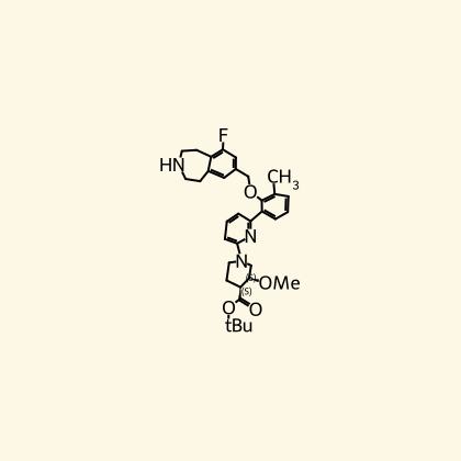 CO[C@@H]1CN(c2cccc(-c3cccc(C)c3OCc3cc(F)c4c(c3)CCNCC4)n2)CC[C@@H]1C(=O)OC(C)(C)C